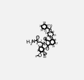 COc1ccc(C(CCC(N)=O)N2C(=O)c3cccc(N4CCN([C@H](C)c5ccccc5)CC4)c3C2=O)cc1OC